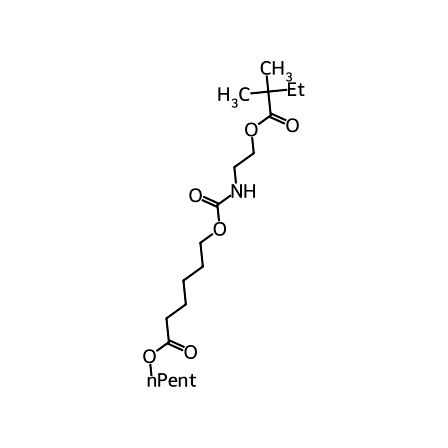 CCCCCOC(=O)CCCCCOC(=O)NCCOC(=O)C(C)(C)CC